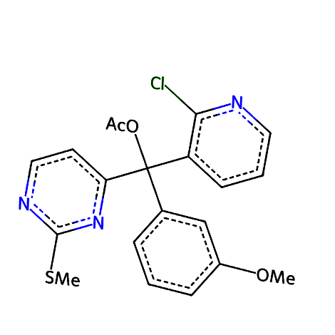 COc1cccc(C(OC(C)=O)(c2ccnc(SC)n2)c2cccnc2Cl)c1